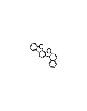 C1=CC2Oc3c(ccc4c3oc3ccccc34)C2c2ccccc21